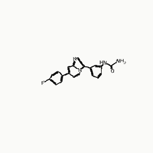 NC(=O)Nc1cccc(-c2cnc3cc(-c4ccc(F)cc4)ccn23)c1